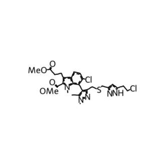 COC(=O)CCc1c(C(=O)OC)n(C)c2c(-c3c(CSCc4cc(CCCl)[nH]n4)nn(C)c3C)c(Cl)ccc12